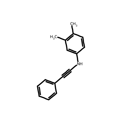 Cc1ccc(NC#Cc2ccccc2)cc1C